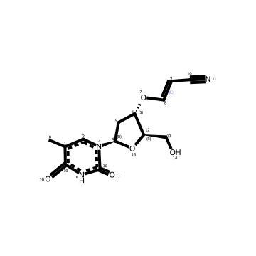 Cc1cn([C@H]2C[C@H](O/C=C/C#N)[C@@H](CO)O2)c(=O)[nH]c1=O